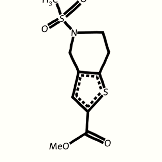 COC(=O)c1cc2c(s1)CCN(S(C)(=O)=O)C2